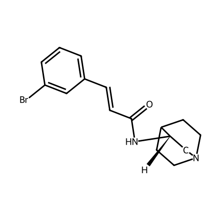 O=C(C=Cc1cccc(Br)c1)N[C@H]1CN2CCC1CC2